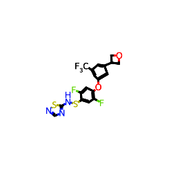 Fc1cc(SNc2ncns2)c(F)cc1Oc1cc(C2COC2)cc(C(F)(F)F)c1